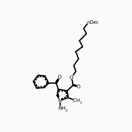 CCCCCCCCCCCCCCCCCCOC(=O)c1c(C(=O)c2ccccc2)cn(N)c1C